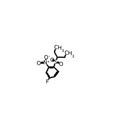 CCC(CC)S(=O)(=O)c1ccc(F)cc1[N+](=O)[O-]